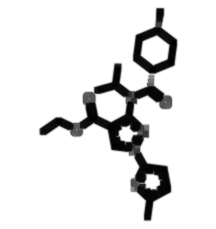 CCOC(=O)c1cn(-c2ccc(C)s2)nc1N(C(=O)[C@H]1CC[C@H](C)CC1)C(C)C